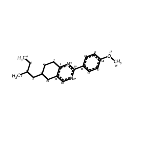 CCC(C)CC1CCc2nc(-c3ccc(OC)cc3)ncc2C1